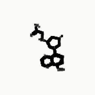 CNc1ccc(N2C[C@@H](C)C[C@@H](NCC(N)=O)C2)c2nccnc12